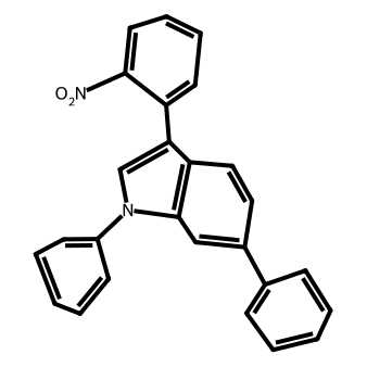 O=[N+]([O-])c1ccccc1-c1cn(-c2ccccc2)c2cc(-c3ccccc3)ccc12